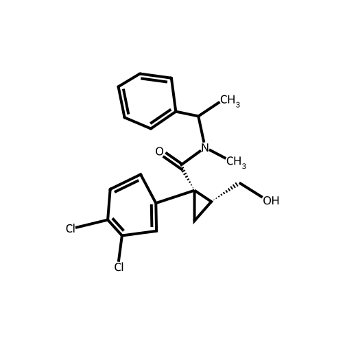 CC(c1ccccc1)N(C)C(=O)[C@@]1(c2ccc(Cl)c(Cl)c2)C[C@H]1CO